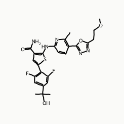 COCCc1nnc(-c2ccc(Nc3sc(-c4c(F)cc(C(C)(C)O)cc4F)cc3C(N)=O)nc2C)o1